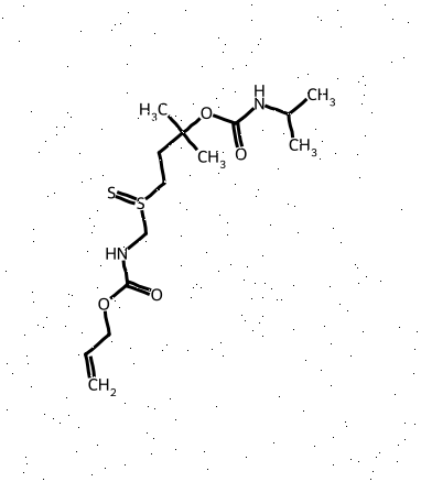 C=CCOC(=O)NCS(=S)CCC(C)(C)OC(=O)NC(C)C